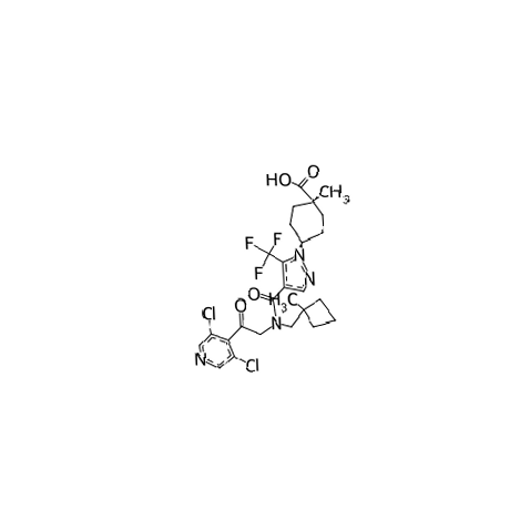 CC1(CN(CC(=O)c2c(Cl)cncc2Cl)C(=O)c2cnn([C@H]3CC[C@](C)(C(=O)O)CC3)c2C(F)(F)F)CCC1